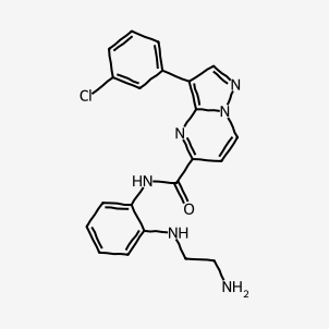 NCCNc1ccccc1NC(=O)c1ccn2ncc(-c3cccc(Cl)c3)c2n1